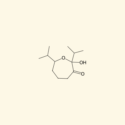 CC(C)C1CCCC(=O)C(O)(C(C)C)O1